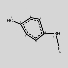 Oc1ccc(BF)cc1